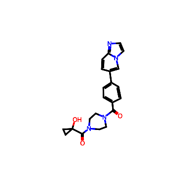 O=C(c1ccc(-c2ccc3nccn3c2)cc1)N1CCN(C(=O)C2(O)CC2)CC1